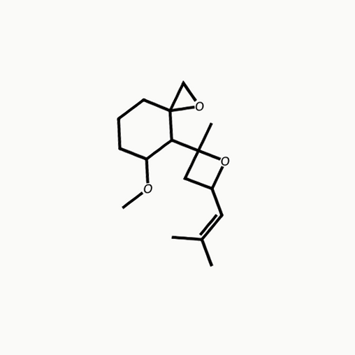 COC1CCCC2(CO2)C1C1(C)CC(C=C(C)C)O1